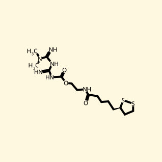 CN(C)C(=N)NC(=N)NC(=O)OCCNC(=O)CCCC[C@@H]1CCSS1